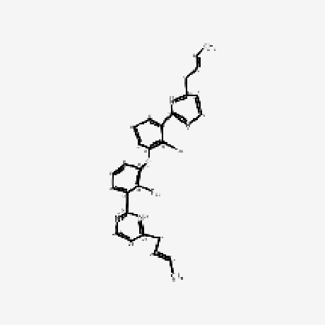 CC=CCc1ccnc(-c2cccc(Oc3cccc(-c4nccc(CC=CC)n4)c3F)c2F)n1